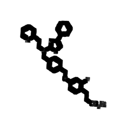 CCOC(=O)CCc1ccc(OCc2ccc(CN(CCc3ccccn3)c3nc(-c4ccccc4)cs3)cc2)cc1F